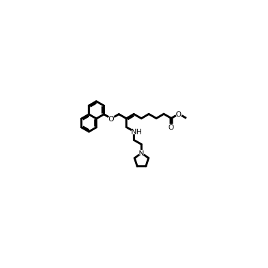 COC(=O)CCCCC=C(CNCCN1CCCC1)COc1cccc2ccccc12